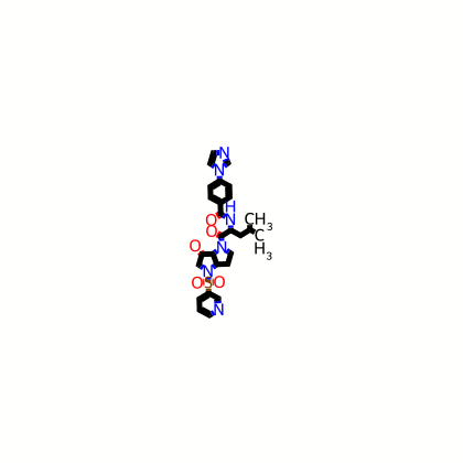 CC(C)CC(NC(=O)c1ccc(-n2ccnc2)cc1)C(=O)N1CCC2C1C(=O)CN2S(=O)(=O)c1cccnc1